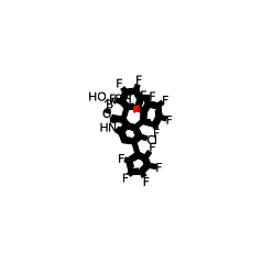 OB(O)Oc1[nH]c2cc(-c3c(F)c(F)c(F)c(F)c3F)c(Cl)c(-c3c(F)c(F)c(F)c(F)c3F)c2c1-c1c(F)c(F)c(F)c(F)c1F